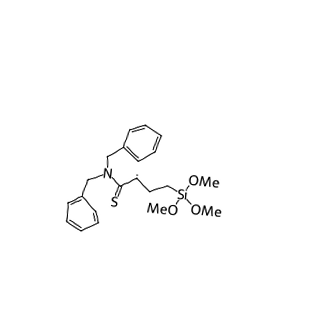 CO[Si](CC[CH]C(=S)N(Cc1ccccc1)Cc1ccccc1)(OC)OC